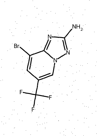 Nc1nc2c(Br)cc(C(F)(F)F)cn2n1